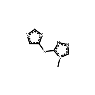 Cn1cnnc1Sc1cn[c]s1